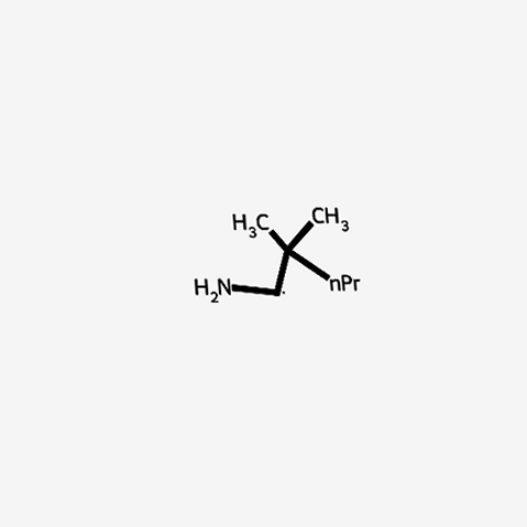 CCCC(C)(C)[CH]N